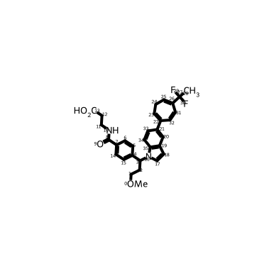 COCCC(c1ccc(C(=O)NCCC(=O)O)cc1)n1ccc2cc(C3=CCC=C(C(C)(F)F)C=C3)ccc21